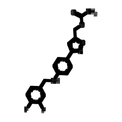 NC(=O)OCc1cc(-c2ccc(NCc3ccc(F)c(F)c3)cc2)no1